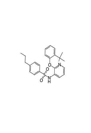 CCCc1ccc(S(=O)(=O)Nc2cccnc2Oc2ccccc2C(C)(C)C)cc1